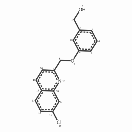 OCc1cccc(OCc2ccc3ccc(Cl)cc3n2)c1